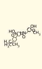 COc1cc(CNC(=O)C2CCN(C(=O)O)C(C3CCC(C(C)(C)C)CC3)C2)ccc1O